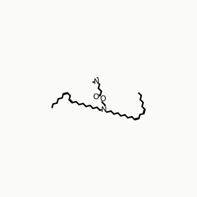 CCCCC/C=C\C/C=C\CCCCCCCCN(CCCCCCCC/C=C\C/C=C\CCCCC)CCOC(=O)CCCN(C)C